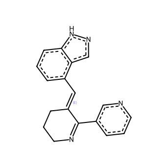 C(=C1/CCCN=C1c1cccnc1)/c1cccc2[nH]ncc12